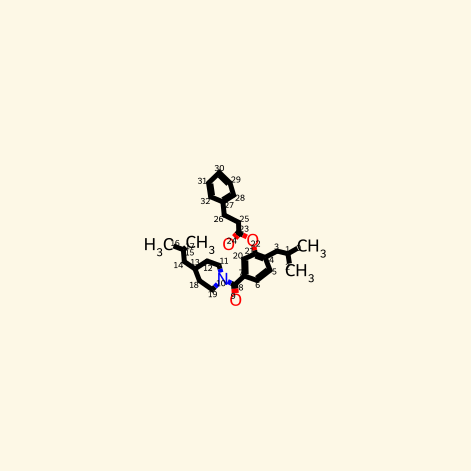 CC(C)Cc1ccc(C(=O)N2CCC(CC(C)C)CC2)cc1OC(=O)CCc1ccccc1